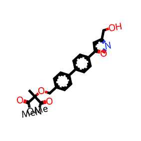 CNC(=O)C(C)(OCc1ccc(-c2ccc(-c3cc(CO)no3)cc2)cc1)C(=O)OC